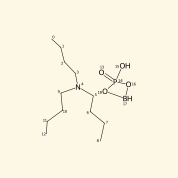 CCCCN(CCCC)CCCC.O=P1(O)OBO1